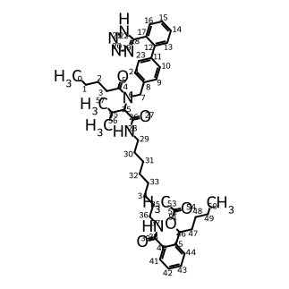 CCCCC(=O)N(Cc1ccc(-c2ccccc2-c2nnn[nH]2)cc1)C(C(=O)NCCCCCCCCNC(=O)c1ccccc1C(CCCC)OC(C)=O)C(C)C